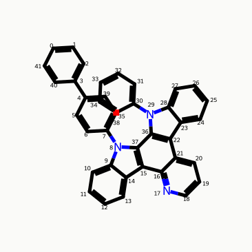 c1ccc(-c2ccc(-n3c4ccccc4c4c5ncccc5c5c6ccccc6n(-c6ccccc6)c5c43)cc2)cc1